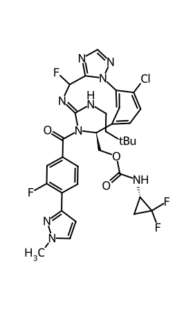 Cn1ccc(-c2ccc(C(=O)N3/C(NCCC(C)(C)C)=N/C(F)c4ncnn4-c4cc(ccc4Cl)[C@H]3COC(=O)N[C@H]3CC3(F)F)cc2F)n1